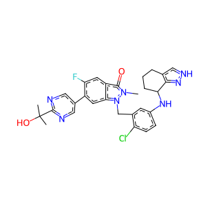 Cn1c(=O)c2cc(F)c(-c3cnc(C(C)(C)O)nc3)cc2n1Cc1cc(NC2CCCc3c[nH]nc32)ccc1Cl